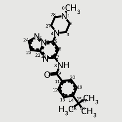 CN1CCN(c2cc(NC(=O)c3ccc(C(C)(C)C)cc3)nc3ccnn23)CC1